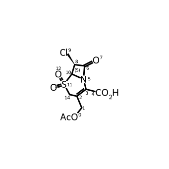 CC(=O)OCC1=C(C(=O)O)N2C(=O)[C@H](Cl)C2S(=O)(=O)C1